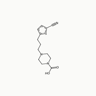 N#Cc1ccc(CCCN2CCN(C(=O)O)CC2)s1